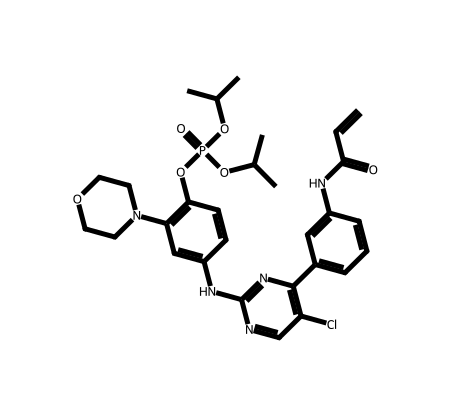 C=CC(=O)Nc1cccc(-c2nc(Nc3ccc(OP(=O)(OC(C)C)OC(C)C)c(N4CCOCC4)c3)ncc2Cl)c1